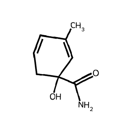 CC1=CC(O)(C(N)=O)CC=C1